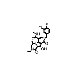 CCN1CC(C)n2c(c(O)c3c(=O)n(Cc4ccc(F)c(Cl)c4)cc(C(=O)NC)c32)C1=O